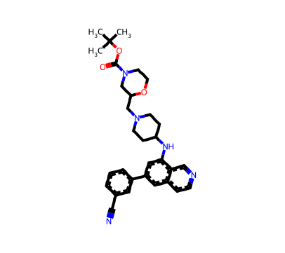 CC(C)(C)OC(=O)N1CCOC(CN2CCC(Nc3cc(-c4cccc(C#N)c4)cc4ccncc34)CC2)C1